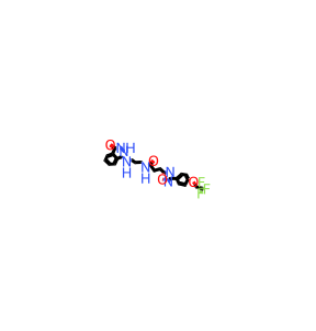 O=C(CCc1nc(-c2ccc(OCC(F)(F)F)cc2)no1)NCCCNc1n[nH]c(=O)c2ccccc12